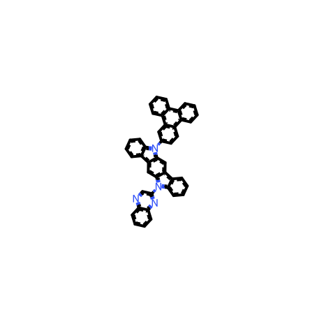 c1ccc2nc(-n3c4ccccc4c4cc5c(cc43)c3ccccc3n5-c3ccc4c5ccccc5c5ccccc5c4c3)cnc2c1